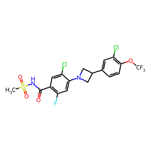 CS(=O)(=O)NC(=O)c1cc(Cl)c(N2CC(c3ccc(OC(F)(F)F)c(Cl)c3)C2)cc1F